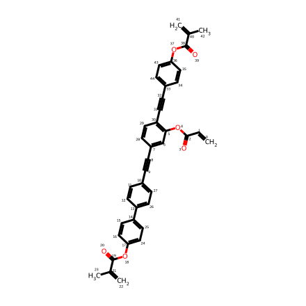 C=CC(=O)Oc1cc(C#Cc2ccc(-c3ccc(OC(=O)C(=C)C)cc3)cc2)ccc1C#Cc1ccc(OC(=O)C(=C)C)cc1